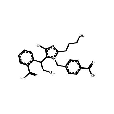 CCCCc1nc(Cl)c(C(OC)c2ccccc2C(=O)O)n1Cc1ccc(C(=O)O)cc1